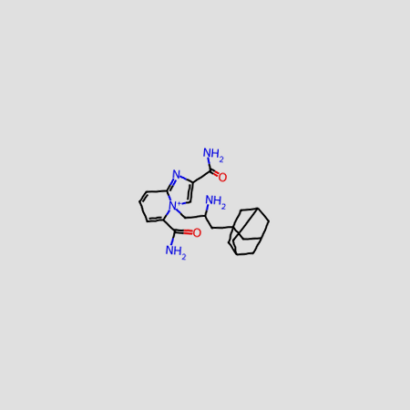 NC(=O)C1=C[N+]2(CC(N)CC34CC5CC(CC(C5)C3)C4)C(C(N)=O)=CC=CC2=N1